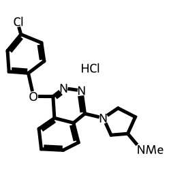 CNC1CCN(c2nnc(Oc3ccc(Cl)cc3)c3ccccc23)C1.Cl